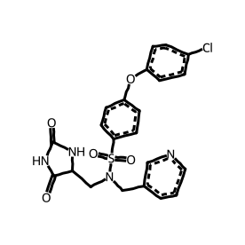 O=C1NC(=O)C(CN(Cc2cccnc2)S(=O)(=O)c2ccc(Oc3ccc(Cl)cc3)cc2)N1